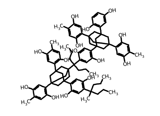 CCCC(C)(CCC)c1cc(O)c(C23CC4(c5cc(O)c(C)cc5O)CC(c5cc(O)c(C)cc5O)(C2)CC(C(CCC)(CCC)c2cc(O)c(C56CC7(c8cc(O)ccc8O)CC(c8cc(O)c(C)cc8O)(CC(c8cc(O)c(C)cc8O)(C7)C5)C6)cc2O)(C4)C3)cc1O